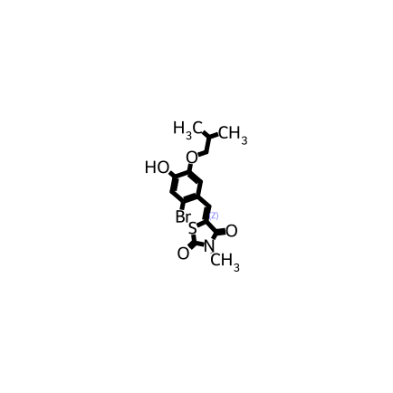 CC(C)COc1cc(/C=C2\SC(=O)N(C)C2=O)c(Br)cc1O